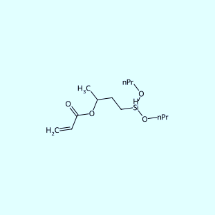 C=CC(=O)OC(C)CC[SiH](OCCC)OCCC